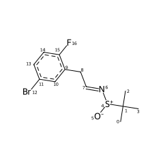 CC(C)(C)[S+]([O-])N=CCc1cc(Br)ccc1F